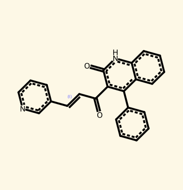 O=C(/C=C/c1cccnc1)c1c(-c2ccccc2)c2ccccc2[nH]c1=O